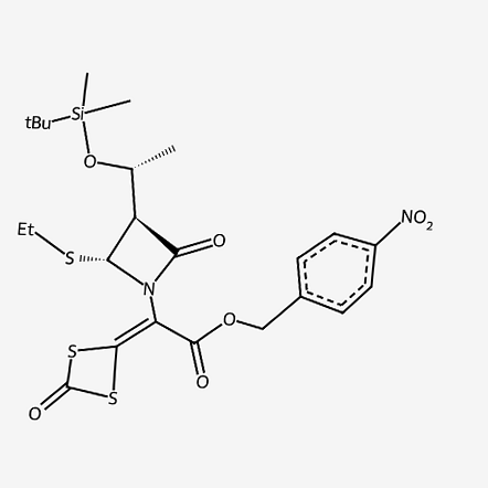 CCS[C@@H]1[C@@H]([C@@H](C)O[Si](C)(C)C(C)(C)C)C(=O)N1C(C(=O)OCc1ccc([N+](=O)[O-])cc1)=C1SC(=O)S1